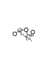 CN(CCSP1N(c2ccccc2)CCN1c1ccccc1)C(=S)Nc1ccccc1